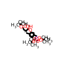 CC(C)(C)OOP(=O)(Cc1ccc(C[C@H](CC(=O)OC(C)(C)C)C(=O)O)cc1)OOC(C)(C)C